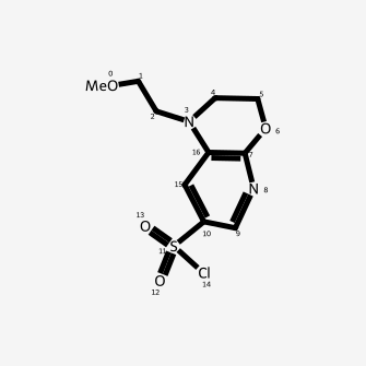 COCCN1CCOc2ncc(S(=O)(=O)Cl)cc21